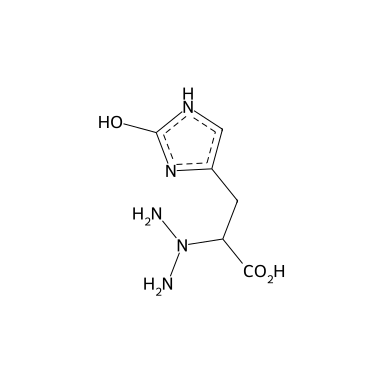 NN(N)C(Cc1c[nH]c(O)n1)C(=O)O